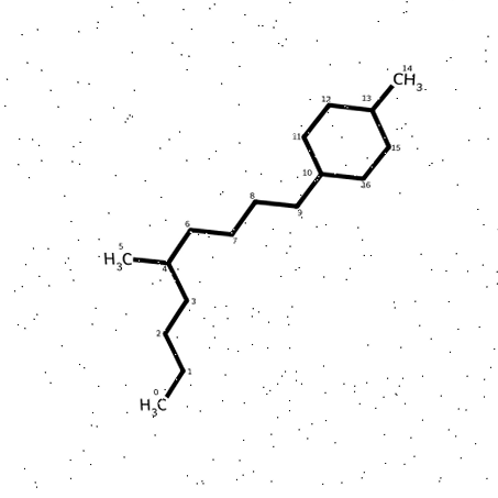 CCCCC(C)CCCCC1CCC(C)CC1